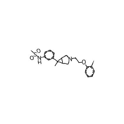 Cc1ccccc1OCCN1CC2C(C1)C2(C)c1cccc(NS(C)(=O)=O)c1